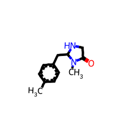 Cc1ccc(CC2NCC(=O)N2C)cc1